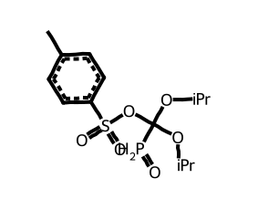 Cc1ccc(S(=O)(=O)OC(OC(C)C)(OC(C)C)[PH2]=O)cc1